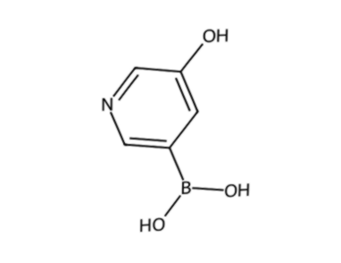 OB(O)c1cncc(O)c1